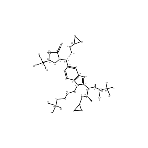 C[C@@H](OC1CC1)[C@H](N[S@+]([O-])C(C)(C)C)c1nc2cc([C@@H](COC3CC3)N3C[C@@H](C(F)(F)F)NC3=O)ccc2n1COCC[Si](C)(C)C